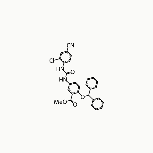 COC(=O)c1cc(NC(=O)Nc2ccc(C#N)cc2Cl)ccc1OC(c1ccccc1)c1ccccc1